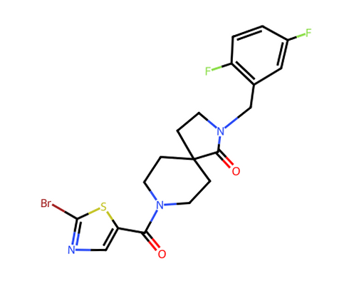 O=C(c1cnc(Br)s1)N1CCC2(CC1)CCN(Cc1cc(F)ccc1F)C2=O